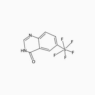 O=c1[nH]cnc2ccc(S(F)(F)(F)(F)F)cc12